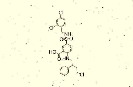 O=C(O)c1cc(S(=O)(=O)NCc2ccc(Cl)cc2Cl)ccc1NCC(CCCl)c1ccccc1